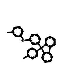 Cc1ccc(C2(c3cccc(Nc4cccc(C)c4)c3)c3ccccc3-c3ccccc32)cc1